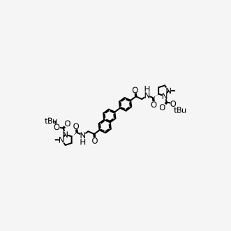 CN1CC[C@@H](C(=O)NCC(=O)c2ccc(-c3ccc4cc(C(=O)CNC(=O)[C@@H]5CCN(C)N5C(=O)OC(C)(C)C)ccc4c3)cc2)N1C(=O)OC(C)(C)C